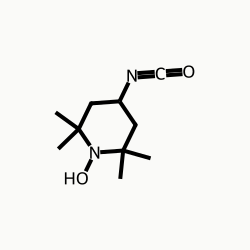 CC1(C)CC(N=C=O)CC(C)(C)N1O